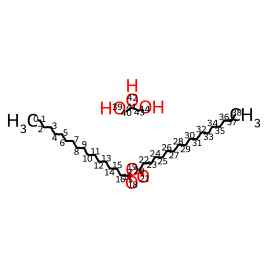 CCCCCCCCCCCCCCCCCC(=O)OC(=O)CCCCCCCCCCCCCCCCC.OCC(O)CO